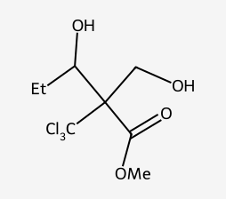 CCC(O)C(CO)(C(=O)OC)C(Cl)(Cl)Cl